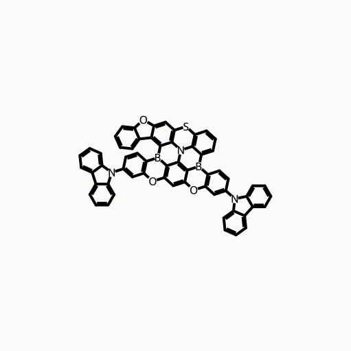 c1cc2c3c(c1)B1c4ccc(-n5c6ccccc6c6ccccc65)cc4Oc4cc5c6c(c41)N3c1c(cc3oc4ccccc4c3c1B6c1ccc(-n3c4ccccc4c4ccccc43)cc1O5)S2